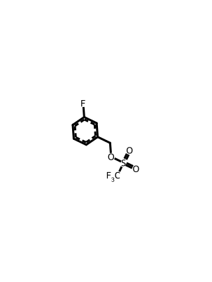 O=S(=O)(OCc1cccc(F)c1)C(F)(F)F